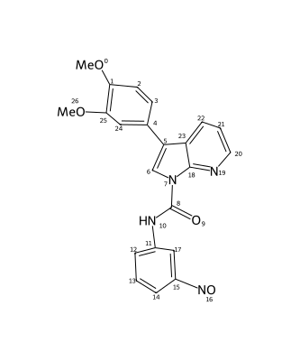 COc1ccc(-c2cn(C(=O)Nc3cccc(N=O)c3)c3ncccc23)cc1OC